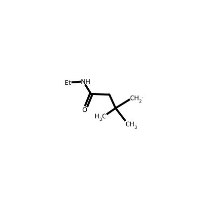 [CH2]C(C)(C)CC(=O)NCC